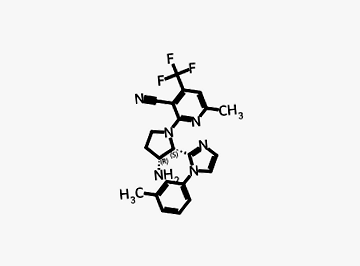 Cc1cccc(-n2ccnc2[C@@H]2[C@H](N)CCN2c2nc(C)cc(C(F)(F)F)c2C#N)c1